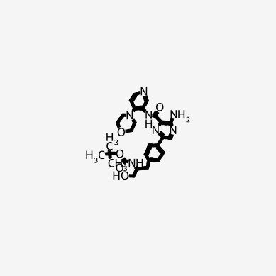 CC(C)(C)OC(=O)NC(CO)Cc1ccc(-c2cnc(N)c(C(=O)Nc3cnccc3N3CCOCC3)n2)cc1